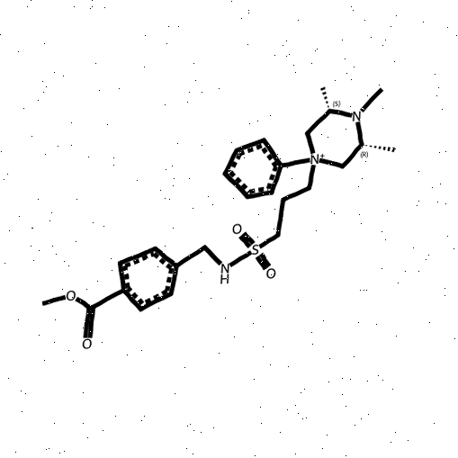 COC(=O)c1ccc(CNS(=O)(=O)CCC[N+]2(c3ccccc3)C[C@@H](C)N(C)[C@@H](C)C2)cc1